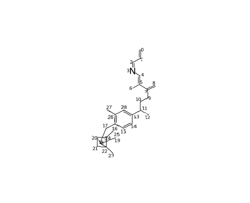 C=C/C=N\C=C(/C)C(=C)CCC(C)c1ccc(CC2(C)C3CC2(C)C3C)c(C)c1